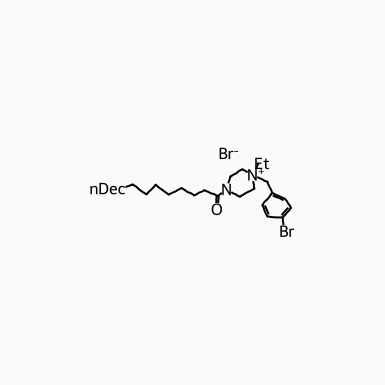 CCCCCCCCCCCCCCCCCC(=O)N1CC[N+](CC)(Cc2ccc(Br)cc2)CC1.[Br-]